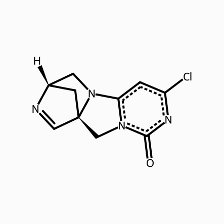 O=c1nc(Cl)cc2n1C[C@]13C=N[C@H](CN21)C3